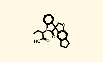 CCC(C(=O)O)N1C(=O)C2(COc3cc4c(cc32)CCC4)c2ccccc21